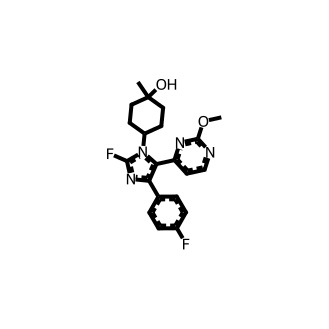 COc1nccc(-c2c(-c3ccc(F)cc3)nc(F)n2C2CCC(C)(O)CC2)n1